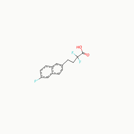 O=C(O)C(F)(F)CCc1ccc2cc(F)ccc2c1